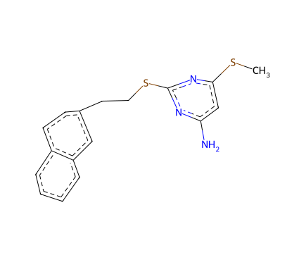 CSc1cc(N)nc(SCCc2ccc3ccccc3c2)n1